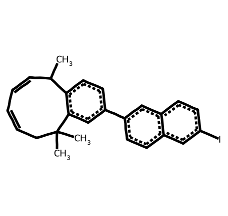 CC1/C=C\C=C/CC(C)(C)c2cc(-c3ccc4cc(I)ccc4c3)ccc21